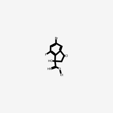 CCOC(=N)C1(O)CCc2cc(Br)cc(F)c21.Cl